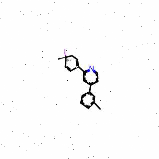 Cc1cccc(-c2ccnc(C3=CC[C@@](C)(I)C=C3)c2)c1